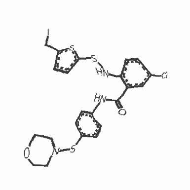 O=C(Nc1ccc(SN2CCOCC2)cc1)c1cc(Cl)ccc1NSc1ccc(CI)s1